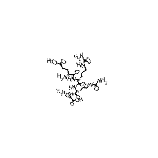 NC[C@@H](NC(=O)[C@@H](CCCNC(N)=O)NC(=O)[C@@H](CCCNC(N)=O)NC(=O)[C@H](N)CCC(=O)O)C(=O)O